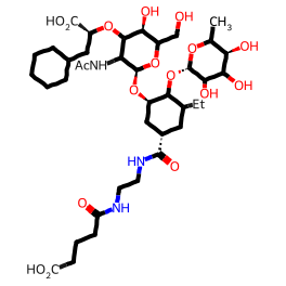 CCC1C[C@H](C(=O)NCCNC(=O)CCCC(=O)O)C[C@@H](O[C@@H]2OC(CO)[C@H](O)C(O[C@@H](CC3CCCCC3)C(=O)O)C2NC(C)=O)C1O[C@@H]1OC(C)[C@@H](O)C(O)C1O